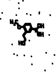 COc1ccc(B(O)O)cc1CCO